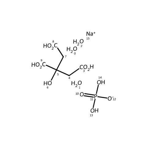 O.O.O.O=C(O)CC(O)(CC(=O)O)C(=O)O.O=P([O-])(O)O.[Na+]